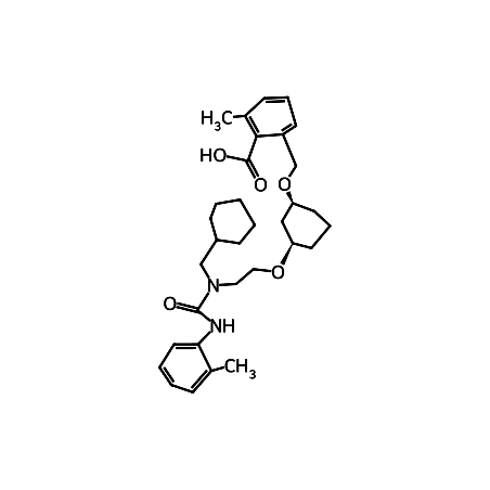 Cc1ccccc1NC(=O)N(CCO[C@@H]1CCC[C@H](OCc2cccc(C)c2C(=O)O)C1)CC1CCCCC1